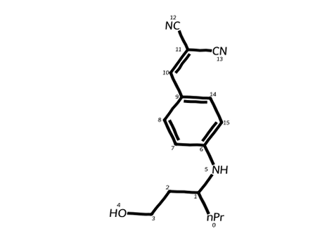 CCCC(CCO)Nc1ccc(C=C(C#N)C#N)cc1